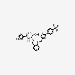 C[C@H](O)[C@@H](CCc1ccccc1OCc1csc(-c2ccc(C(F)(F)F)cc2)n1)NC(=O)c1c[nH]cn1